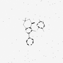 Cc1ccc(F)c(Nc2c(-c3ccncc3)[nH]c3c2C(=O)CC(C)(C)C3)c1